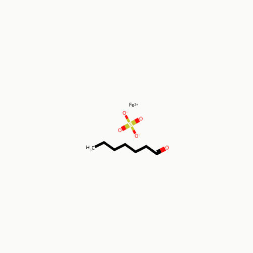 CCCCCCC=O.O=S(=O)([O-])[O-].[Fe+2]